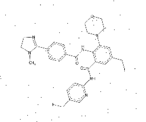 CN1CCN=C1c1ccc(C(=O)Nc2c(C(=O)Nc3ccc(CI)cn3)cc(CI)cc2N2CCOCC2)cc1